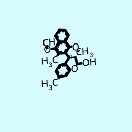 COc1c(C)c([C@@H](CC(=O)O)c2ccc(C)cc2)c(OC)c2ccccc12